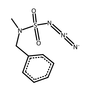 CN(Cc1ccccc1)S(=O)(=O)N=[N+]=[N-]